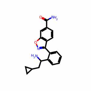 NC(=O)c1ccc2c(-c3ccccc3C(N)CC3CC3)noc2c1